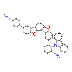 N#Cc1ccc(-c2ccc3oc4c(ccc5oc6ccc(-c7cccc(C#N)c7-n7c8ccccc8c8ccccc87)cc6c54)c3c2)cc1